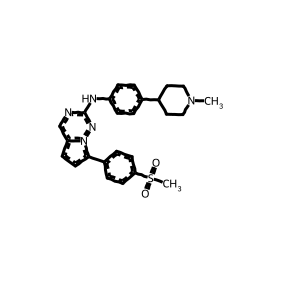 CN1CCC(c2ccc(Nc3ncc4ccc(-c5ccc(S(C)(=O)=O)cc5)n4n3)cc2)CC1